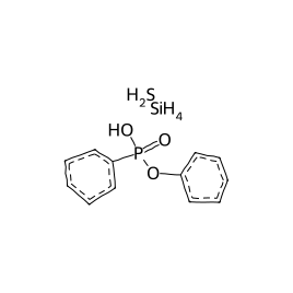 O=P(O)(Oc1ccccc1)c1ccccc1.S.[SiH4]